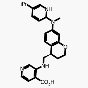 CC(C)C1=CNC(N(C)c2ccc3c(c2)OCC[C@H]3CNc2cnccc2C(=O)O)C=C1